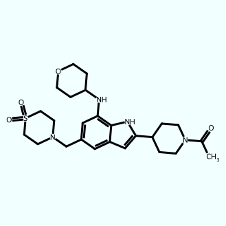 CC(=O)N1CCC(c2cc3cc(CN4CCS(=O)(=O)CC4)cc(NC4CCOCC4)c3[nH]2)CC1